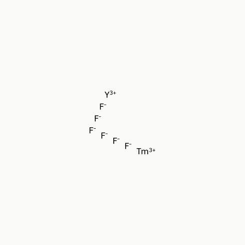 [F-].[F-].[F-].[F-].[F-].[F-].[Tm+3].[Y+3]